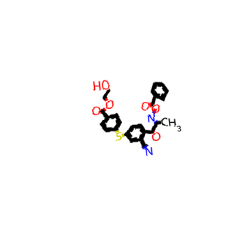 C/C(=N\OC(=O)c1ccccc1)C(=O)c1ccc(Sc2ccc(C(=O)OCCO)cc2)cc1C#N